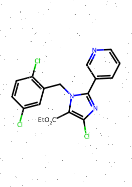 CCOC(=O)c1c(Cl)nc(-c2cccnc2)n1Cc1cc(Cl)ccc1Cl